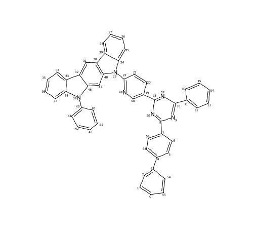 c1ccc(-c2ccc(-c3nc(-c4ccccc4)nc(-c4ccc(-n5c6ccccc6c6cc7c8ccccc8n(-c8ccccc8)c7cc65)nc4)n3)cc2)cc1